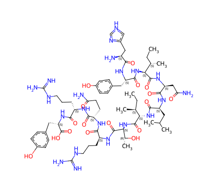 CC[C@H](C)[C@H](NC(=O)[C@H](Cc1ccc(O)cc1)NC(=O)[C@@H](N)Cc1c[nH]cn1)C(=O)N[C@@H](CC(N)=O)C(=O)N[C@@H](CC(C)C)C(=O)N[C@H](C(=O)N[C@H](C(=O)N[C@@H](CCCNC(=N)N)C(=O)N[C@@H](CCC(N)=O)C(=O)N[C@@H](CCCNC(=N)N)C(=O)N[C@@H](Cc1ccc(O)cc1)C(=O)O)[C@@H](C)O)[C@@H](C)CC